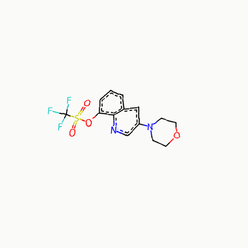 O=S(=O)(Oc1cccc2cc(N3CCOCC3)cnc12)C(F)(F)F